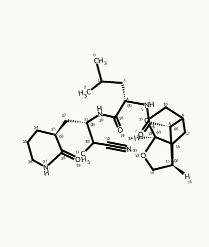 CC(C)C[C@H](NC(=O)[C@@H]1C2CO[C@@H]3OC[C@H]1C3C2)C(=O)N[C@@H](C[C@@H]1CCCNC1=O)C(C)C#N